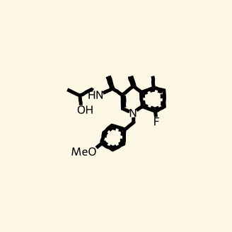 C=C(NCC(C)O)C1=CN(Cc2ccc(OC)cc2)c2c(F)ccc(C)c2C1=C